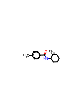 Cc1ccc(C(=O)NC2CCCC[C@H]2C)cc1